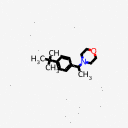 CC(c1ccc(C(C)(C)C)cc1)N1CCOCC1